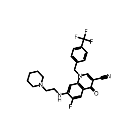 N#Cc1cn(Cc2ccc(C(F)(F)F)cc2)c2cc(NCCN3CCCCC3)c(F)cc2c1=O